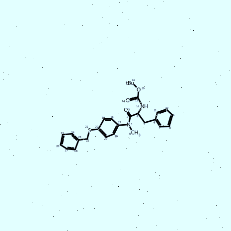 CN(C(=O)C(Cc1ccccc1)NC(=O)OC(C)(C)C)c1ccc(SCc2ccccc2)cc1